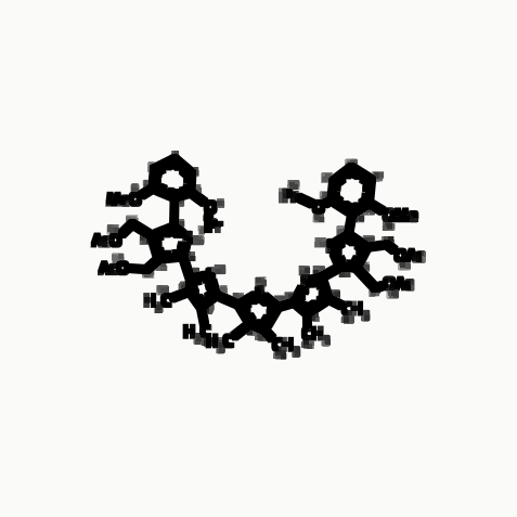 COc1cccc(OC(C)C)c1-c1sc(-c2sc(-c3sc(-c4sc(-c5sc(-c6c(OC)cccc6OC(C)C)c(COC(C)=O)c5COC(C)=O)c(C)c4C)c(C)c3C)c(C)c2C)c(COC(C)=O)c1COC(C)=O